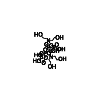 O=P(O)(O)OP(=O)(ON(CCO)CCO)OP(=O)(ON(CCO)CCO)OP(=O)(O)O